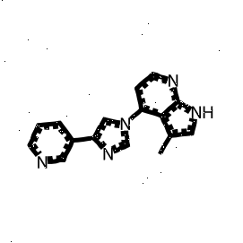 Cc1c[nH]c2nccc(-n3cnc(-c4cccnc4)c3)c12